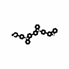 C#C/C=C\C(=C/C)c1ccc(-n2c3ccccc3c3cc(-c4ccc5c(c4)c4ccccc4n5-c4ccc(-c5ccc6oc7ccccc7c6c5)cc4)ccc32)cc1